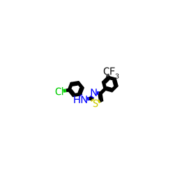 FC(F)(F)c1cccc(-c2csc(Nc3cccc(Cl)c3)n2)c1